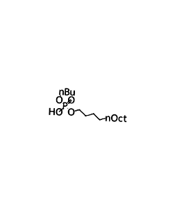 CCCCCCCCCCCCOP(=O)(O)OCCCC